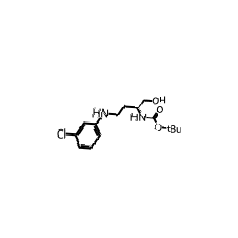 CC(C)(C)OC(=O)N[C@H](CO)CCNc1cccc(Cl)c1